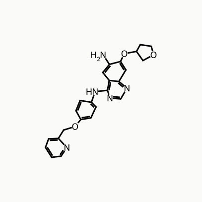 Nc1cc2c(Nc3ccc(OCc4ccccn4)cc3)ncnc2cc1OC1CCOC1